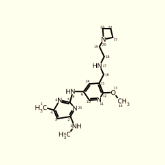 CNc1cc(C)nc(Nc2cnc(OC)c(CNCCN3CCC3)c2)n1